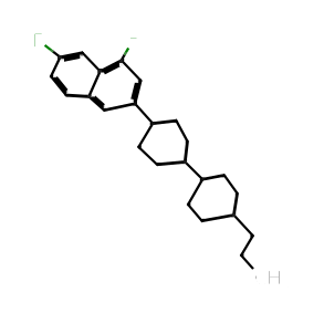 CCCC1CCC(C2CCC(c3cc(F)c4cc(F)ccc4c3)CC2)CC1